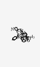 CS(=O)(=O)c1cccc2c1c(-n1c(O[C@@H]3CNCC[C@H]3F)nccc1=O)nn2-c1ccccc1